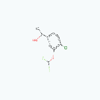 N#CC(O)c1ccc(Cl)c(OC(F)F)c1